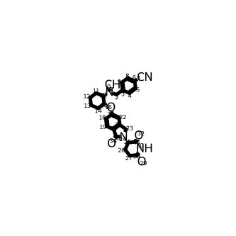 CN(Cc1ccc(C#N)cc1)[C@H]1CCCC[C@H]1Oc1ccc2c(c1)CN(C1CCC(=O)NC1=O)C2=O